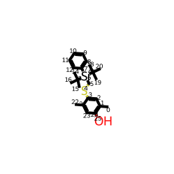 Cc1cc(SC[Si](c2ccccc2)(C(C)(C)C)C(C)(C)C)c(C)cc1O